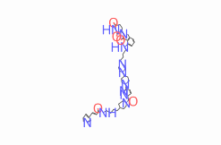 O=C(/C=C/c1cccnc1)NCCCCC1CCN(C(=O)c2ccc(N3CCC(N4CCN(CCCCNc5cccc6c5C(=O)N(C5CCC(=O)NC5=O)C6)CC4)CC3)nn2)CC1